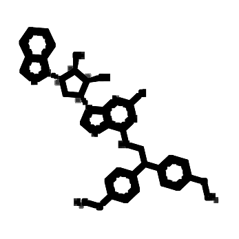 COc1ccc(C(CNc2nc(Cl)nc3c2ncn3[C@@H]2C[C@H](n3ncc4ccccc43)[C@@H](O)[C@H]2O)c2ccc(OC)cc2)cc1